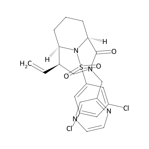 C=C[C@@H]1CN(Cc2cnccn2)C(=O)[C@@H]2CCC[C@H]1N2S(=O)(=O)c1cc(Cl)cc(Cl)c1